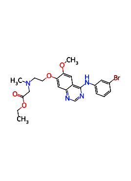 CCOC(=O)CN(C)CCOc1cc2ncnc(Nc3cccc(Br)c3)c2cc1OC